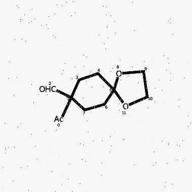 CC(=O)C1(C=O)CCC2(CC1)OCCO2